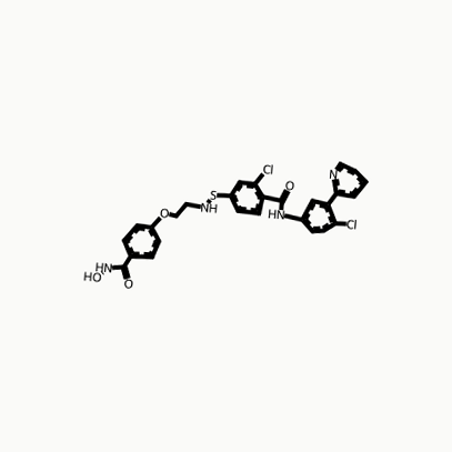 O=C(NO)c1ccc(OCCNSc2ccc(C(=O)Nc3ccc(Cl)c(-c4ccccn4)c3)c(Cl)c2)cc1